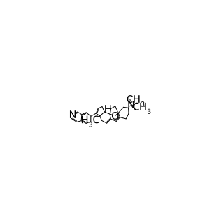 CN(C)[C@@H]1CCC2=CC3=CCC4(C)C(c5ccc6ccncc6c5)=CC[C@H]4[C@@]34CC[C@]2(C1)O4